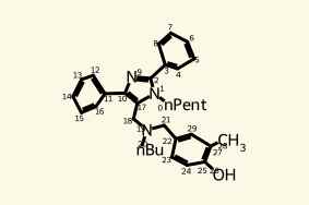 CCCCCn1c(-c2ccccc2)nc(-c2ccccc2)c1CN(CCCC)Cc1ccc(O)c(C)c1